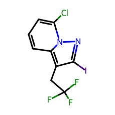 FC(F)(F)Cc1c(I)nn2c(Cl)cccc12